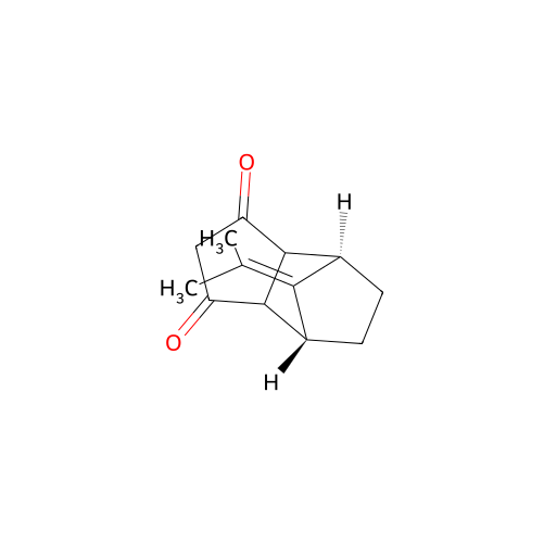 CC(C)=C1[C@@H]2CC[C@@H]1C1C(=O)CC(=O)C12